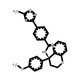 Cc1nc(-c2ccc(C(=O)N[C@]3(c4ccc(OC(F)(F)F)cc4)CCOc4cccnc43)cc2)no1